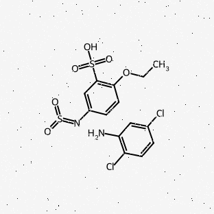 CCOc1ccc(N=S(=O)=O)cc1S(=O)(=O)O.Nc1cc(Cl)ccc1Cl